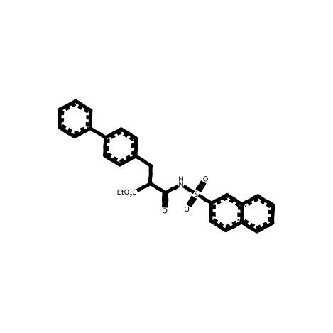 CCOC(=O)C(Cc1ccc(-c2ccccc2)cc1)C(=O)NS(=O)(=O)c1ccc2ccccc2c1